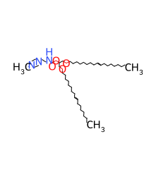 CCCCCCCCC=CCCCCCCCCOCC(COCCCCCCCCC=CCCCCCCCC)OC(=O)NCCN1CCN(C)CC1